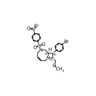 COC[C@@H]1[C@H](c2ccc(Br)cc2)[C@@H]2CN(S(=O)(=O)c3ccc([N+](=O)[O-])cc3)C/C=C\CN12